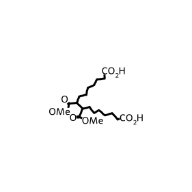 COC(=O)C(CCCCCCC(=O)O)C(CCCCCCC(=O)O)C(=O)OC